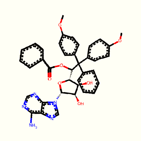 COc1ccc(C(c2ccccc2)(c2ccc(OC)cc2)C(OC(=O)c2ccccc2)[C@H]2O[C@@H](n3cnc4c(N)ncnc43)[C@H](O)[C@@H]2O)cc1